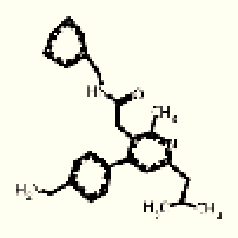 Cc1nc(CC(C)C)[c]c(-c2ccc(CN)cc2)c1CC(=O)NCc1ccccc1